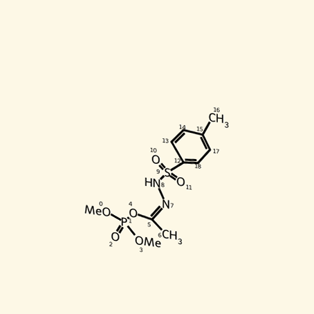 COP(=O)(OC)OC(C)=NNS(=O)(=O)c1ccc(C)cc1